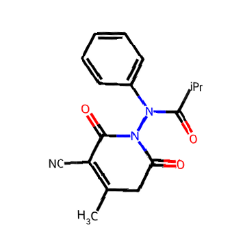 CC1=C(C#N)C(=O)N(N(C(=O)C(C)C)c2ccccc2)C(=O)C1